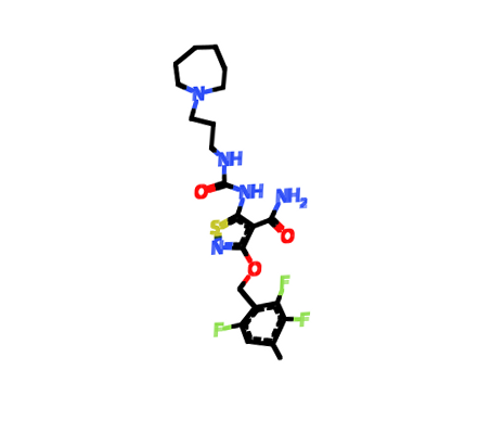 Cc1cc(F)c(COc2nsc(NC(=O)NCCCN3CCCCCC3)c2C(N)=O)c(F)c1F